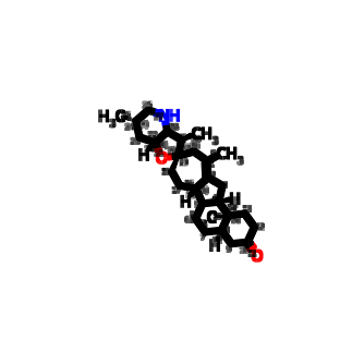 CC1=C2C[C@H]3C(CC[C@@H]4CC(=O)CC[C@@]43C)[C@@H]2CC[C@@]2(C1)O[C@@H]1C[C@H](C)CNC1[C@H]2C